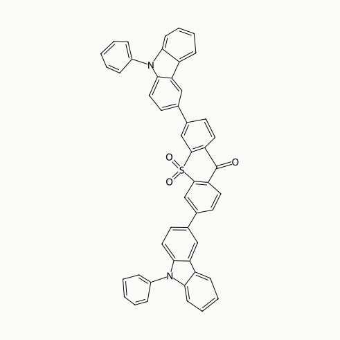 O=C1c2ccc(-c3ccc4c(c3)c3ccccc3n4-c3ccccc3)cc2S(=O)(=O)c2cc(-c3ccc4c(c3)c3ccccc3n4-c3ccccc3)ccc21